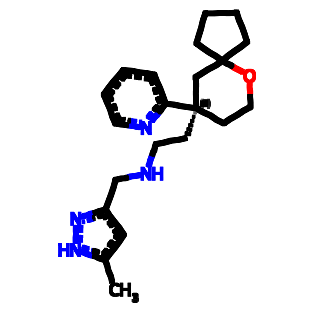 Cc1cc(CNCC[C@@]2(c3ccccn3)CCOC3(CCCC3)C2)n[nH]1